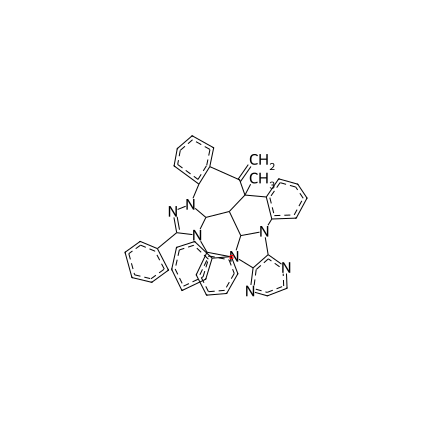 C=C1c2ccccc2N2N=C(c3ccccc3)N(c3ccccc3)C2C2C3N(c4ccccc4)c4nccnc4N3c3ccccc3C12C